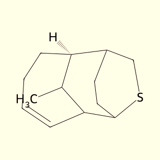 CC1C2C=CCC[C@H]1C1CCC2SC1